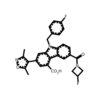 Cc1noc(C)c1-c1cc(C(=O)O)c2c3cc(C(=O)N4CC(F)C4)ccc3n(Cc3ccc(F)cc3)c2c1